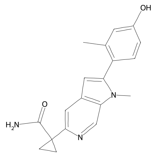 Cc1cc(O)ccc1-c1cc2cc(C3(C(N)=O)CC3)ncc2n1C